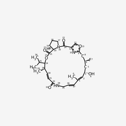 CC1=C\[C@@H](O)C[C@H](F)Cc2nc(co2)C(=O)N2CCC[C@@H]2C(=O)OC(C(C)C)[C@H](C)/C=C/C(=O)NC\C=C\1